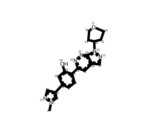 Cn1cc(-c2ccc(-c3cc4cnn(C5CCOCC5)c4nn3)c(O)c2)cn1